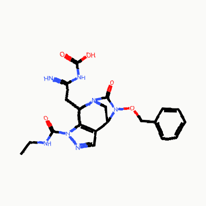 CCNC(=O)n1ncc2c1C(CC(=N)NC(=O)O)N1CC2N(OCc2ccccc2)C1=O